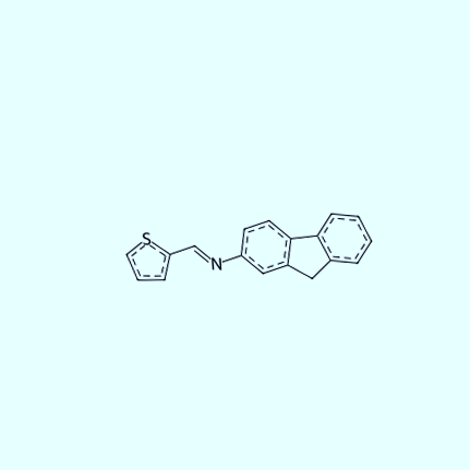 C(=Nc1ccc2c(c1)Cc1ccccc1-2)c1cccs1